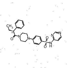 CC[C@H](C(=O)N1CCN(c2ccc(S(=O)(=O)Nc3ccncn3)cc2)CC1)c1ccccc1